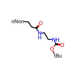 CCCCCCCCCCCC(=O)NCCNC(=O)OC(C)(C)C